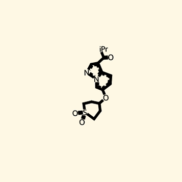 CC(C)C(=O)c1cnn2cc(OC3CCS(=O)(=O)CC3)ccc12